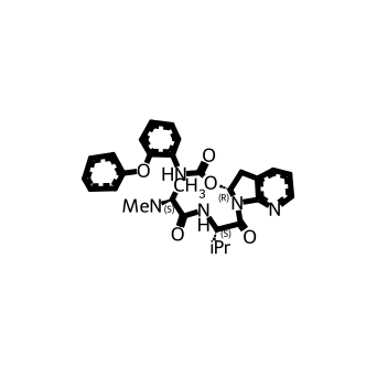 CN[C@@H](C)C(=O)N[C@H](C(=O)N1c2ncccc2C[C@H]1OC(=O)Nc1ccccc1Oc1ccccc1)C(C)C